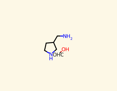 NCC1CCNC1.O=CO